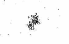 Nc1nc2c(ncn2[C@@H]2O[C@H](CO)[C@@H](O)[C@H]2OP(=O)(O)OCC2=C(O)C(Cl)(n3cnc4c(N)ncnc43)CO2)c(=O)[nH]1